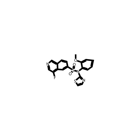 COc1ccccc1N(c1nccs1)S(=O)(=O)c1ccc2cncc(F)c2c1